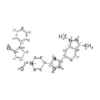 Cc1nn(C)c2cc(-c3noc(C4CCN(C(=O)[C@@H]5CC(=O)N(c6ccccc6)C5)CC4)n3)ccc12